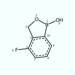 OB1OCc2c(F)cccc21